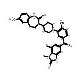 COc1ccc2c(c1)CCN(C1CCN(c3cc(C(=O)c4cc(C)c5c(c4)oc(=O)n5C)ccc3C#N)CC1)C(=O)N2